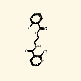 O=C(OCCNC(=O)c1cccnc1Cl)c1ccccc1F